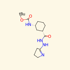 CC(C)(C)OC(=O)N[C@@H]1CCC[C@H](C(=O)NNC2=NCCC2)C1